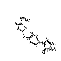 CC(=O)Nc1ncc(Cc2ccc(-n3cn[nH]c3=O)cc2)s1